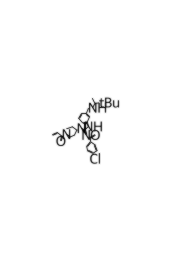 C=CC(=O)N1CCC(n2c(=NC(=O)c3ccc(Cl)cc3)[nH]c3cc(CNC(C)C(C)(C)C)ccc32)CC1